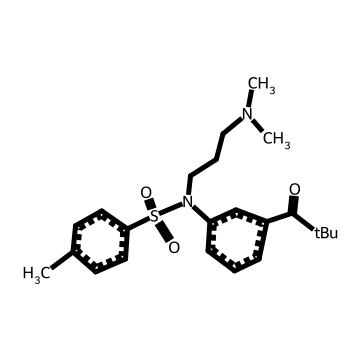 Cc1ccc(S(=O)(=O)N(CCCN(C)C)c2cccc(C(=O)C(C)(C)C)c2)cc1